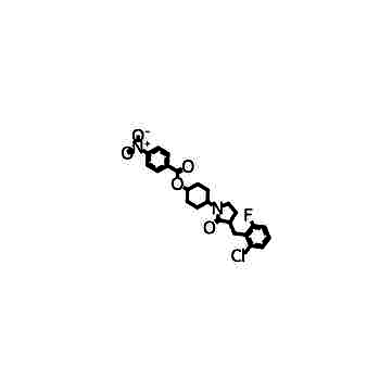 O=C(OC1CCC(N2CCC(Cc3c(F)cccc3Cl)C2=O)CC1)c1ccc([N+](=O)[O-])cc1